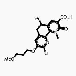 COCCCOc1cc2c(nc1Cl)-c1c(cc(C(=O)O)c(=O)n1C)C(C(C)C)C2